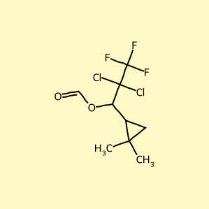 CC1(C)CC1C(OC=O)C(Cl)(Cl)C(F)(F)F